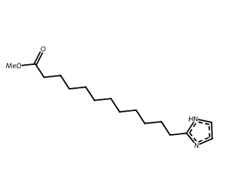 COC(=O)CCCCCCCCCCCc1ncc[nH]1